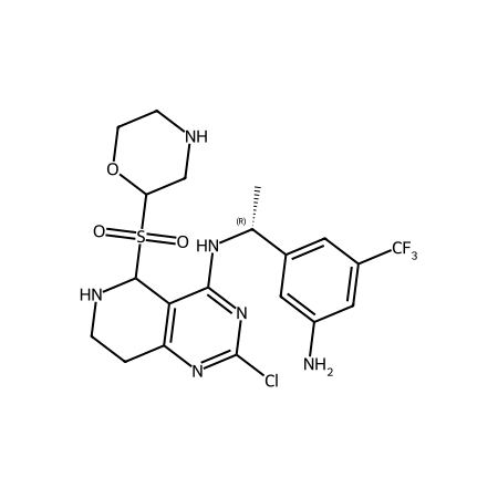 C[C@@H](Nc1nc(Cl)nc2c1C(S(=O)(=O)C1CNCCO1)NCC2)c1cc(N)cc(C(F)(F)F)c1